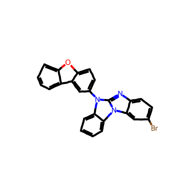 Brc1ccc2nc3n(-c4ccc5oc6ccccc6c5c4)c4ccccc4n3c2c1